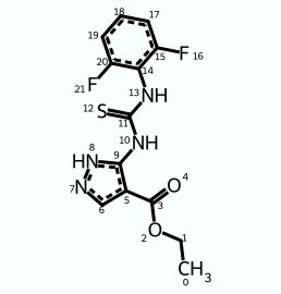 CCOC(=O)c1cn[nH]c1NC(=S)Nc1c(F)cccc1F